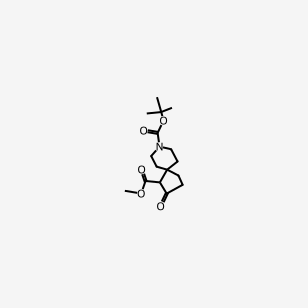 COC(=O)C1C(=O)CCC12CCN(C(=O)OC(C)(C)C)CC2